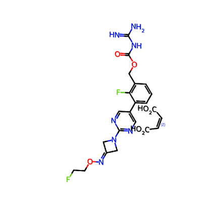 N=C(N)NC(=O)OCc1cccc(-c2cnc(N3CC(=NOCCF)C3)nc2)c1F.O=C(O)/C=C\C(=O)O